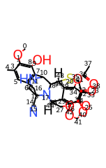 COc1c(C)cc2c(c1O)C1NCC(C#N)(C2)N2C1[C@@H]1SCC(=O)C(=O)OC[C@H]2c2c3c(c(C)c(OC(C)=O)c21)OCO3